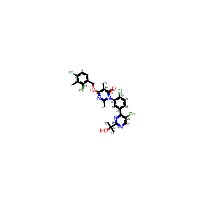 Cc1c(F)ccc(COc2nc(C)n(-c3cc(-c4nc(C(C)(C)O)ncc4F)ccc3Cl)c(=O)c2C)c1F